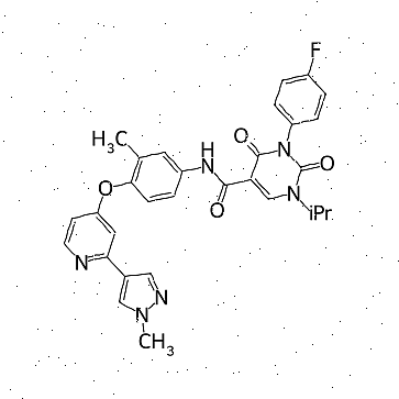 Cc1cc(NC(=O)c2cn(C(C)C)c(=O)n(-c3ccc(F)cc3)c2=O)ccc1Oc1ccnc(-c2cnn(C)c2)c1